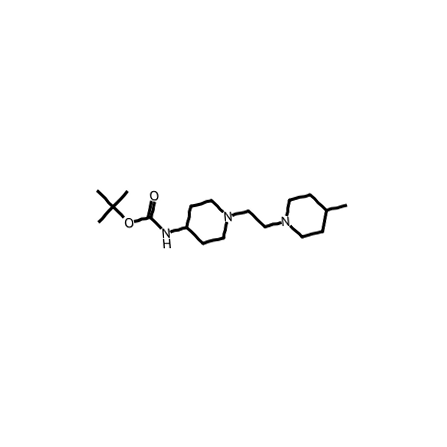 CC1CCN(CCN2CCC(NC(=O)OC(C)(C)C)CC2)CC1